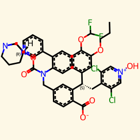 CCCOc1cc([C@H](Cc2c(Cl)c[n+](O)cc2Cl)c2cc(CN(C(=O)O[C@H]3CN4CCC3CC4)c3ccccc3-c3cccnc3)ccc2C(=O)[O-])ccc1OC(F)F